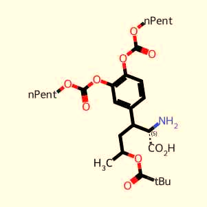 CCCCCOC(=O)Oc1ccc(C(CC(C)OC(=O)C(C)(C)C)[C@H](N)C(=O)O)cc1OC(=O)OCCCCC